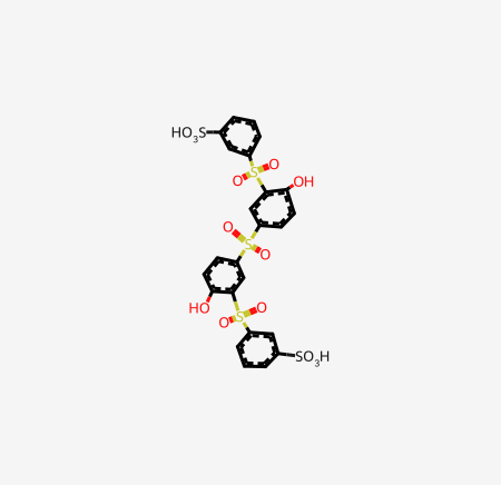 O=S(=O)(O)c1cccc(S(=O)(=O)c2cc(S(=O)(=O)c3ccc(O)c(S(=O)(=O)c4cccc(S(=O)(=O)O)c4)c3)ccc2O)c1